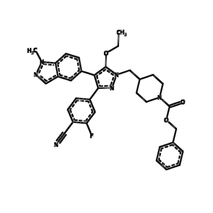 CCOc1c(-c2ccc3c(cnn3C)c2)c(-c2ccc(C#N)c(F)c2)nn1CC1CCN(C(=O)OCc2ccccc2)CC1